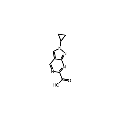 O=C(O)c1ncc2cn(C3CC3)nc2n1